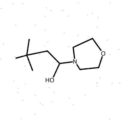 CC(C)(C)CC(O)N1CCOCC1